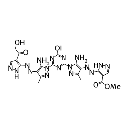 COC(=O)c1cn[nH]c1/N=N/c1c(C)nn(-c2nc(O)nc(-n3nc(C)c(/N=N/c4[nH]ncc4C(=O)CO)c3N)n2)c1N